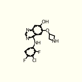 Oc1cc2ncnc(Nc3ccc(F)c(Cl)c3F)c2cc1OC1CNC1